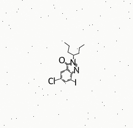 CCCC(CCC)n1cnc2c(I)cc(Cl)cc2c1=O